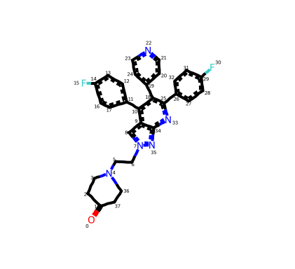 O=C1CCN(CCn2cc3c(-c4ccc(F)cc4)c(-c4ccncc4)c(-c4ccc(F)cc4)nc3n2)CC1